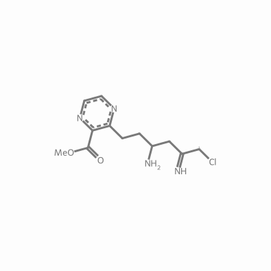 COC(=O)c1nccnc1CCC(N)CC(=N)[CH]Cl